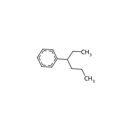 CC[CH]C(CC)c1ccccc1